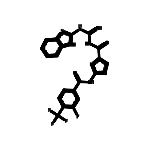 N=C(NC(=O)c1coc(NC(=O)c2ccc(C(F)(F)F)c(F)c2)n1)Nc1nc2ccccc2[nH]1